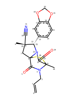 C=CCN1C(=O)C23C[C@](C)(C#N)[C@H](c4ccc5c(c4)OCO5)N2C(=O)C1(C)SS3